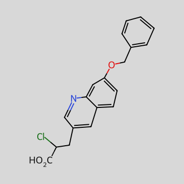 O=C(O)C(Cl)Cc1cnc2cc(OCc3ccccc3)ccc2c1